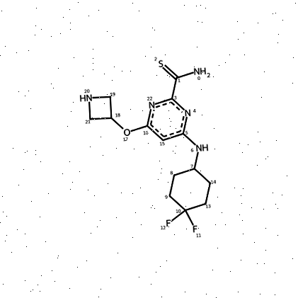 NC(=S)c1nc(NC2CCC(F)(F)CC2)cc(OC2CNC2)n1